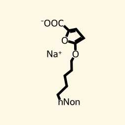 CCCCCCCCCCCCCCOc1ccc(C(=O)[O-])o1.[Na+]